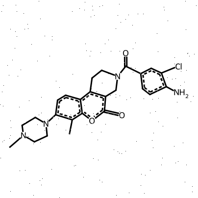 Cc1c(N2CCN(C)CC2)ccc2c3c(c(=O)oc12)CN(C(=O)c1ccc(N)c(Cl)c1)CC3